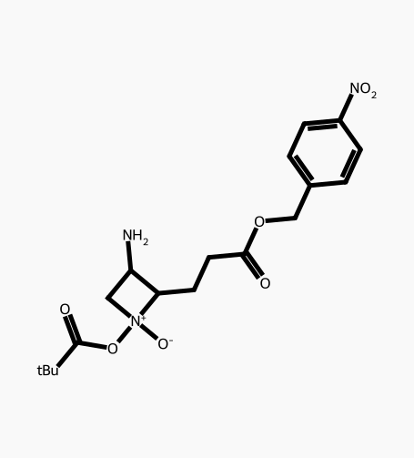 CC(C)(C)C(=O)O[N+]1([O-])CC(N)C1CCC(=O)OCc1ccc([N+](=O)[O-])cc1